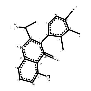 Cc1c(F)ccc(-n2c(C(C)N)nc3cccc(Cl)c3c2=O)c1C